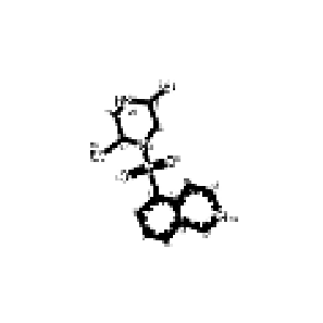 CCC1CN(S(=O)(=O)c2cccc3cnccc23)C(CC)CN1